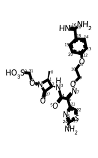 C[C@H]1[C@H](NC(=O)C(=NOCCOc2ccc(C(=N)N)cc2)c2csc(N)n2)C(=O)N1OCS(=O)(=O)O